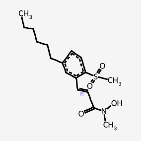 CCCCCCc1ccc(S(C)(=O)=O)c(/C=C/C(=O)N(C)O)c1